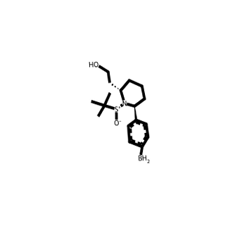 Bc1ccc([C@@H]2CCC[C@@H](CCO)N2[S+]([O-])C(C)(C)C)cc1